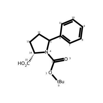 CC(C)(C)OC(=O)N1C(c2ccccc2)CC[C@H]1C(=O)O